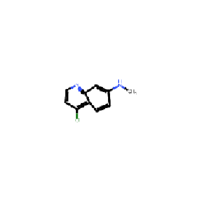 CNc1ccc2c(Cl)ccnc2c1